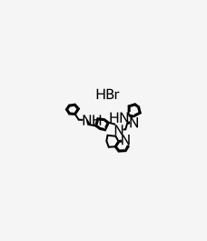 Br.c1ccc(CNCc2ccc(CN(Cc3nc4ccccc4[nH]3)C3CCCc4cccnc43)cc2)cc1